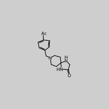 CC(=O)c1ccc(CN2CCC3(CC2)NCC(=O)N3)cc1